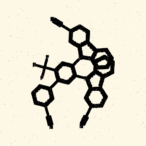 N#Cc1cccc(-c2cc(-n3c4ccccc4c4ccc(C#N)cc43)c(-n3c4ccccc4c4ccc(C#N)cc43)cc2C(F)(F)F)c1